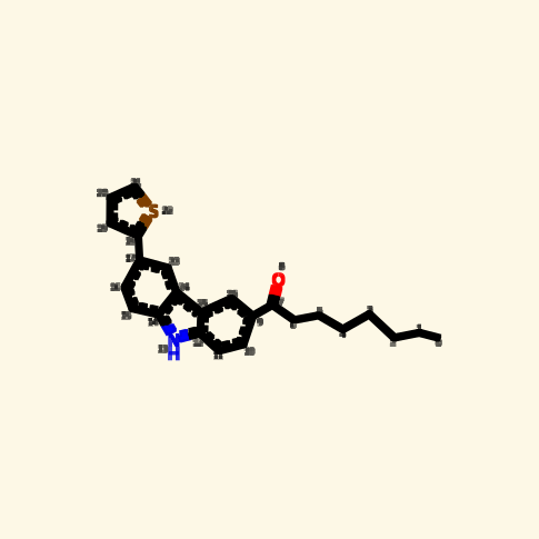 CCCCCCCC(=O)c1ccc2[nH]c3ccc(-c4cccs4)cc3c2c1